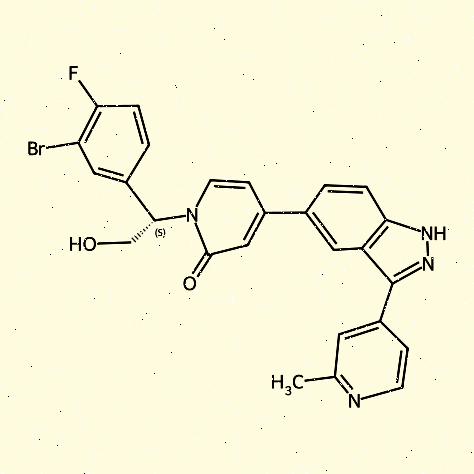 Cc1cc(-c2n[nH]c3ccc(-c4ccn([C@H](CO)c5ccc(F)c(Br)c5)c(=O)c4)cc23)ccn1